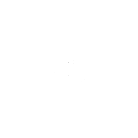 O=COC(=O)c1ccccc1.[KH]